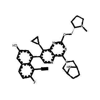 C#Cc1c(F)ccc2cc(O)cc(-c3cnc4c(N5CC6CCC(C5)N6)nc(OC[C@@H]5CCCN5C)nc4c3C3CC3)c12